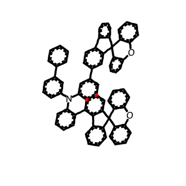 c1ccc(-c2cccc(N(c3cccc(-c4ccc5c(c4)C4(c6ccccc6Oc6ccccc64)c4ccccc4-5)c3)c3ccccc3-c3cccc4c3-c3ccccc3C43c4ccccc4Oc4ccccc43)c2)cc1